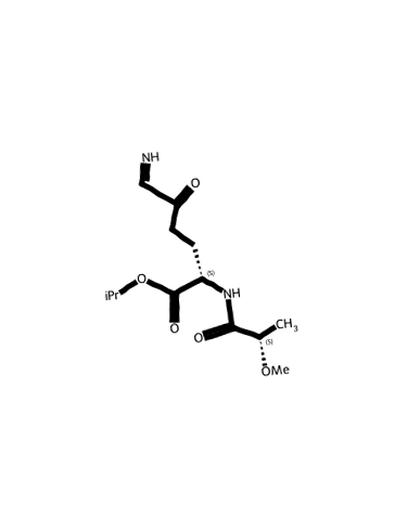 CO[C@@H](C)C(=O)N[C@@H](CCC(=O)C=N)C(=O)OC(C)C